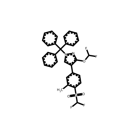 Cc1cc(-c2cn(C(c3ccccc3)(c3ccccc3)c3ccccc3)nc2OC(F)F)ccc1S(=O)(=O)C(F)F